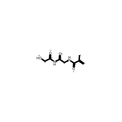 C=C(C)C(=O)NCC(=O)NC(=O)CO